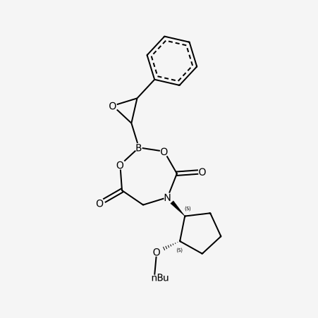 CCCCO[C@H]1CCC[C@@H]1N1CC(=O)OB(C2OC2c2ccccc2)OC1=O